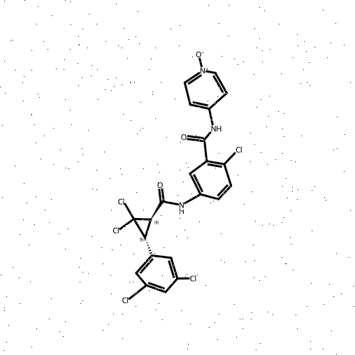 O=C(Nc1cc[n+]([O-])cc1)c1cc(NC(=O)[C@H]2[C@H](c3cc(Cl)cc(Cl)c3)C2(Cl)Cl)ccc1Cl